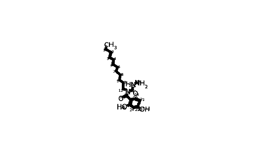 CCCCCCCCCCCCN(C(=O)NN)C(=O)c1ccc(O)cc1O